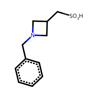 O=S(=O)(O)CC1CN(Cc2ccccc2)C1